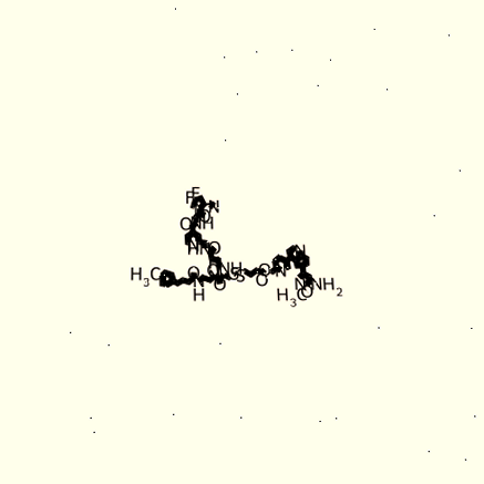 COc1ncc(-c2ccc3nccc(-c4ccc(COC(=O)CCCSSCC(NC(=O)CCC(=O)NCc5cc(C(=O)NCC(=O)N6CC(F)(F)C[C@H]6C#N)ccn5)C(=O)NCCNC(=O)CCCc5ccc(C)cc5)nc4)c3c2)cc1N